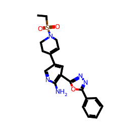 CCS(=O)(=O)N1CC=C(c2cnc(N)c(-c3nnc(-c4ccccc4)o3)c2)CC1